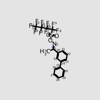 C/C(=N\OS(=O)(=O)C(F)(F)C(F)(F)C(F)(F)C(F)(F)F)c1cccc(-c2ccccc2)c1